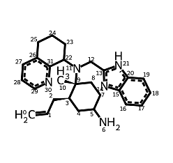 C=CC[C@@H]1CC(N)CC[C@@]1(C)N(Cc1nc2ccccc2[nH]1)C1CCCc2cccnc21